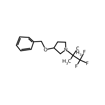 CC(C)(N1CCC(OCc2ccccc2)C1)C(F)(F)F